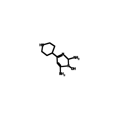 NC1=CC(C2CCNCC2)=NC(N)N1O